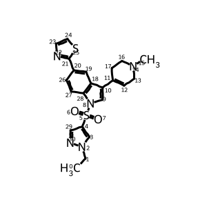 CCn1cc(S(=O)(=O)n2cc(C3=CCN(C)CC3)c3cc(-c4nccs4)ccc32)cn1